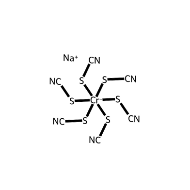 N#C[S][Cr-]([S]C#N)([S]C#N)([S]C#N)([S]C#N)[S]C#N.[Na+]